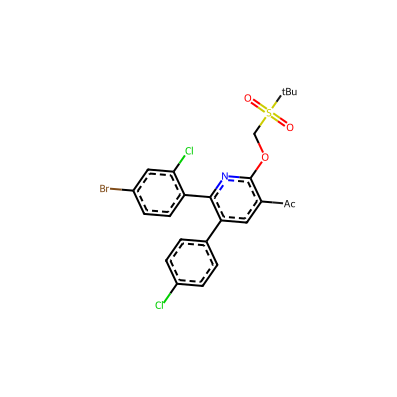 CC(=O)c1cc(-c2ccc(Cl)cc2)c(-c2ccc(Br)cc2Cl)nc1OCS(=O)(=O)C(C)(C)C